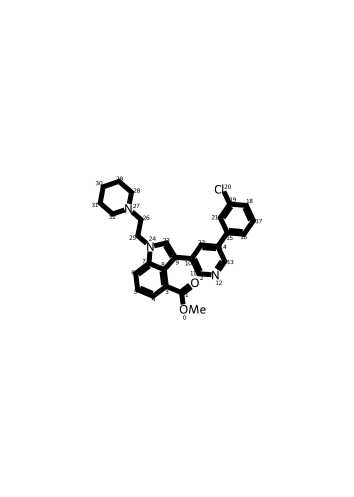 COC(=O)c1cccc2c1c(-c1cncc(-c3cccc(Cl)c3)c1)cn2CCN1CCCCC1